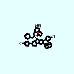 Cl.Cl.Clc1ccc(-c2ccc3c(c2)[CH]([Zr]([C]2=CC=CC2)=[C](Cc2ccccc2)Cc2ccccc2)c2cc(-c4ccc(Cl)cc4)c(C4C5CC6CC(C5)CC4C6)cc2-3)cc1